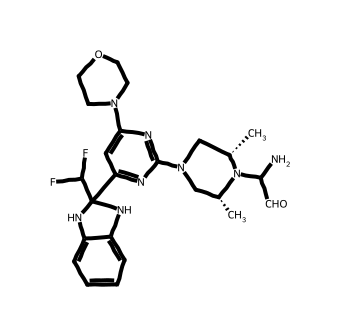 C[C@@H]1CN(c2nc(N3CCOCC3)cc(C3(C(F)F)Nc4ccccc4N3)n2)C[C@H](C)N1C(N)C=O